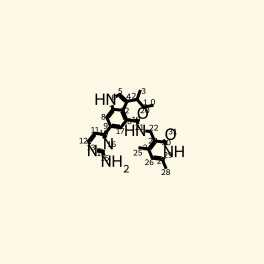 CCC(C)c1c[nH]c2cc(-c3ccnc(N)n3)cc(C(=O)NCc3c(C)cc(C)[nH]c3=O)c12